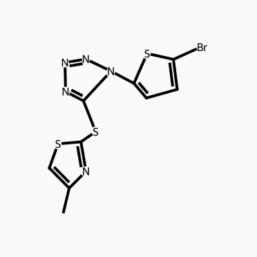 Cc1csc(Sc2nnnn2-c2ccc(Br)s2)n1